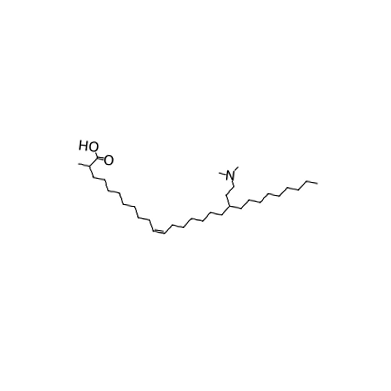 CCCCCCCCCC(CCCCCC/C=C\CCCCCCCCC(C)C(=O)O)CCN(C)C